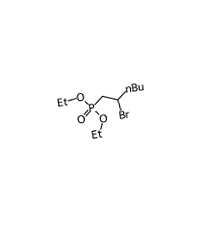 CCCCC(Br)CP(=O)(OCC)OCC